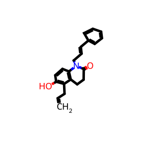 C=CCc1c(O)ccc2c1CCC(=O)N2CC=Cc1ccccc1